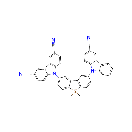 CS1(C)c2ccc(-n3c4ccccc4c4cc(C#N)ccc43)cc2-c2cc(-n3c4ccc(C#N)cc4c4cc(C#N)ccc43)ccc21